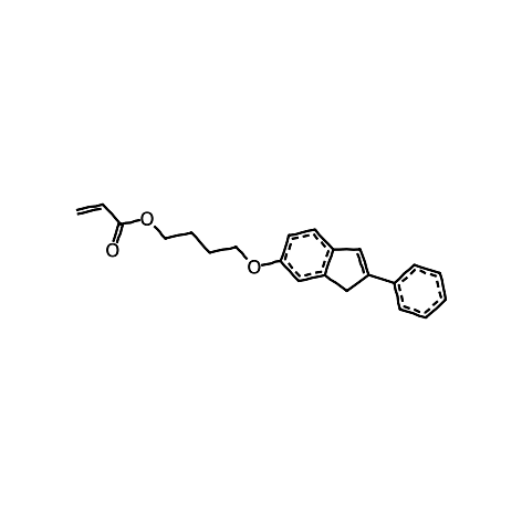 C=CC(=O)OCCCCOc1ccc2c(c1)CC(c1ccccc1)=C2